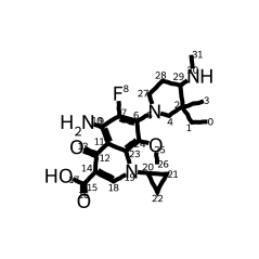 CCC1(C)CN(c2c(F)c(N)c3c(=O)c(C(=O)O)cn(C4CC4)c3c2OC)CCC1NC